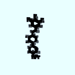 CCC[C@H]1CC[C@H]([C@H]2CC[C@H](CCc3cc(F)c(F)c(F)c3)CC2)CC1